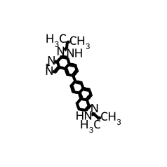 CC(C)c1nc2c([nH]1)CCc1c-2ccc2cc(-c3ccc4c(c3)c3cncnc3c3nc(C(C)C)[nH]c43)ccc12